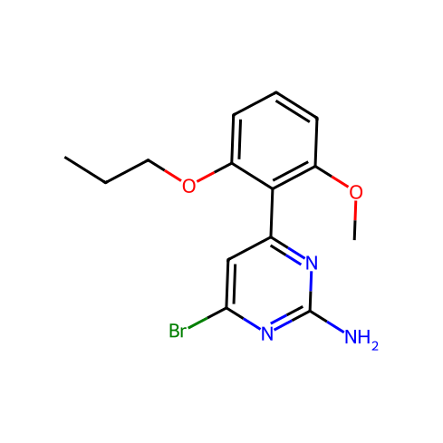 CCCOc1cccc(OC)c1-c1cc(Br)nc(N)n1